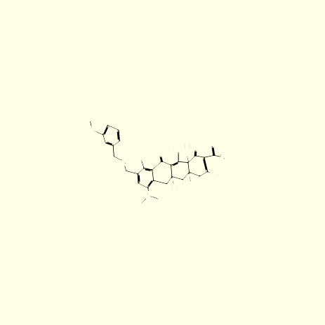 COc1cccc(CNCc2cc(N(C)C)c3c(c2O)C(=O)C2=C(O)[C@]4(O)C(=O)C(C(N)=O)=C(O)C[C@@H]4C[C@@H]2C3)c1